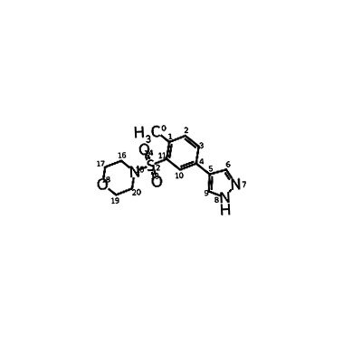 Cc1ccc(-c2cn[nH]c2)cc1S(=O)(=O)N1CCOCC1